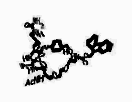 CC(=O)N[C@@H](COCCOCCNC(=O)OCC1c2ccccc2-c2ccccc21)C(=O)N[C@H](C(=O)N[C@@H](CCCNC(N)=O)C(=O)Nc1ccc(CO)cc1)C(C)C